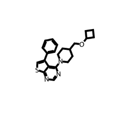 c1ccc(-c2csc3ncnc(N4CCC(COC5CCC5)CC4)c23)cc1